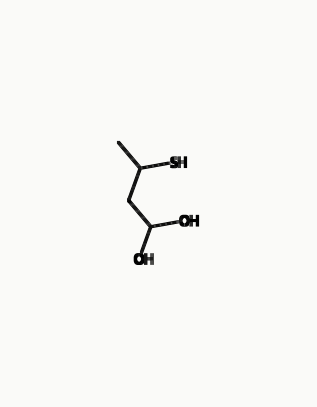 CC(S)CC(O)O